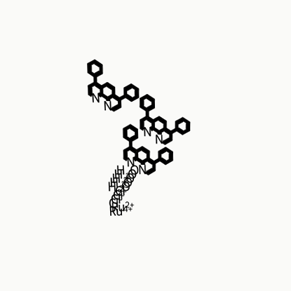 O.O.O.O.O.[Cl-].[Cl-].[Cl-].[Cl-].[Ru+2].[Ru+4].c1ccc(-c2ccnc3c2ccc2c(-c4ccccc4)ccnc23)cc1.c1ccc(-c2ccnc3c2ccc2c(-c4ccccc4)ccnc23)cc1.c1ccc(-c2ccnc3c2ccc2c(-c4ccccc4)ccnc23)cc1